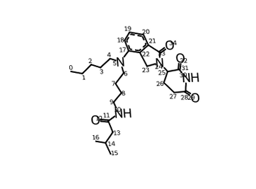 CCCCCN(CCCCNC(=O)CC(C)C)c1cccc2c1CN(C1CCC(=O)NC1=O)C2=O